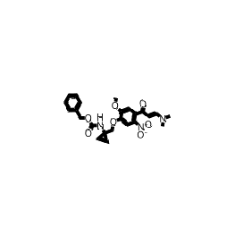 COc1cc(C(=O)C=CN(C)C)c([N+](=O)[O-])cc1OCC1(NC(=O)OCc2ccccc2)CC1